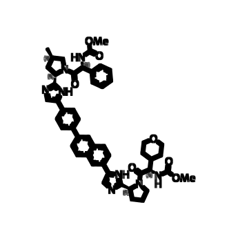 COC(=O)N[C@H](C(=O)N1CCC[C@H]1c1ncc(-c2ccc3cc(-c4ccc(-c5cnc([C@@H]6C[C@@H](C)CN6C(=O)[C@H](NC(=O)OC)c6ccccc6)[nH]5)cc4)ccc3c2)[nH]1)C1CCOCC1